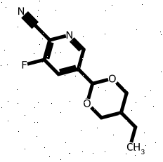 CCC1COC(c2cnc(C#N)c(F)c2)OC1